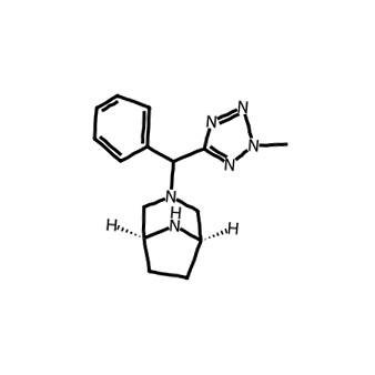 Cn1nnc(C(c2ccccc2)N2C[C@H]3CC[C@@H](C2)N3)n1